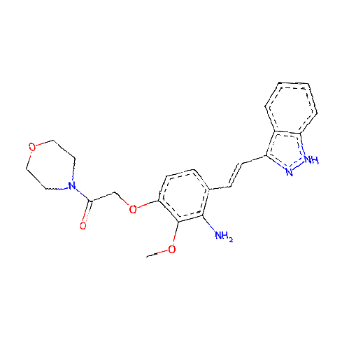 COc1c(OCC(=O)N2CCOCC2)ccc(C=Cc2n[nH]c3ccccc23)c1N